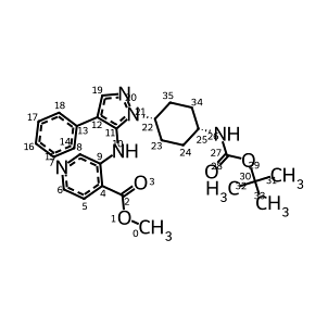 COC(=O)c1ccncc1Nc1c(-c2ccccc2)cnn1[C@H]1CC[C@@H](NC(=O)OC(C)(C)C)CC1